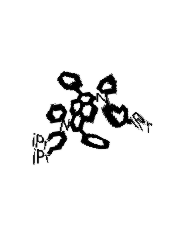 CC(C)C/C=C\C(CC(C)C)N(c1ccccc1)c1cc(C2C=CC=CC2)c2ccc3c(N(c4ccccc4)c4ccc(C(C)C)cc4)cc(-c4ccccc4)c4ccc1c2c43